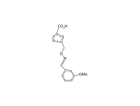 COc1cccc(C=NOCc2ccc(C(=O)O)s2)c1